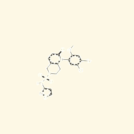 COc1cc(Br)c(Cl)cc1-n1c2c(ccc1=O)CN(S(=O)(=O)Nc1ccon1)CC2